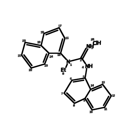 CCN(C(=N)Nc1cccc2ccccc12)c1cccc2ccccc12.Cl